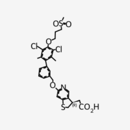 Cc1c(Cl)c(OCCCS(C)(=O)=O)c(Cl)c(C)c1-c1cccc(COc2cc3c(cn2)[C@@H](CC(=O)O)CS3)c1